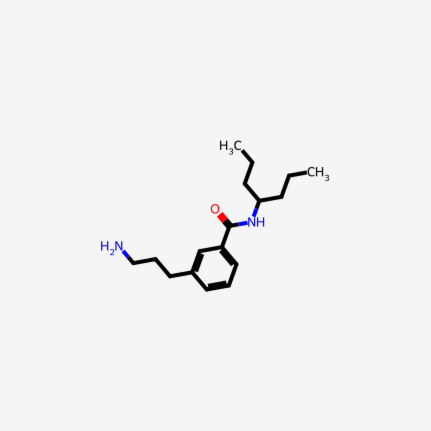 CCCC(CCC)NC(=O)c1cccc(CCCN)c1